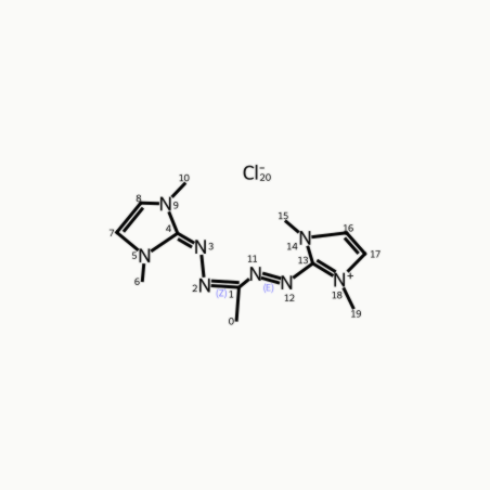 CC(=N/N=c1n(C)ccn1C)/N=N/c1n(C)cc[n+]1C.[Cl-]